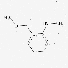 CNc1ccccc1COC